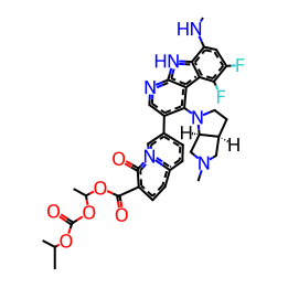 CNc1cc(F)c(F)c2c1[nH]c1ncc(-c3ccc4ccc(C(=O)OC(C)OC(=O)OC(C)C)c(=O)n4c3)c(N3CC[C@H]4CN(C)C[C@H]43)c12